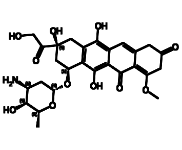 COC1=C2C(=O)c3c(O)c4c(c(O)c3C=C2CC(=O)C1)C[C@@](O)(C(=O)CO)C[C@@H]4O[C@H]1C[C@H](N)[C@H](O)[C@H](C)O1